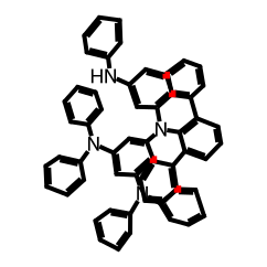 c1ccc(Nc2cccc(N(c3cc(N(c4ccccc4)c4ccccc4)cc(N(c4ccccc4)c4ccccc4)c3)c3c(-c4ccccc4)cccc3-c3ccccc3)c2)cc1